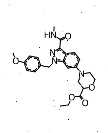 CCOC(=O)C1CN(c2ccc3c(C(=O)NC)nn(Cc4ccc(OC)cc4)c3c2)CCO1